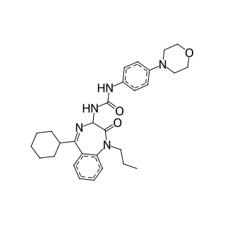 CCCN1C(=O)C(NC(=O)Nc2ccc(N3CCOCC3)cc2)N=C(C2CCCCC2)c2ccccc21